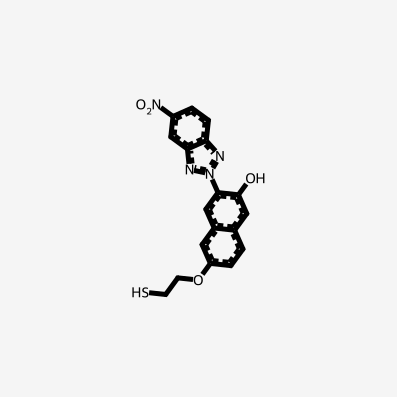 O=[N+]([O-])c1ccc2nn(-c3cc4cc(OCCS)ccc4cc3O)nc2c1